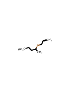 C=CCSC(C)CCC(=O)O